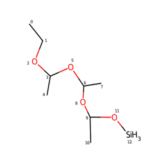 CCOC(C)OC(C)OC(C)O[SiH3]